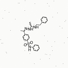 CC(=NNC(=S)NCCc1ccccc1)c1ccc(S(=O)(=O)Nc2ccccc2)cc1